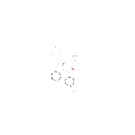 CC(C)(C)c1ccc(N(C(=O)NC2(C#N)CC2)C(C(=O)NC2CCC(F)(F)CC2)c2cnccc2C(F)(F)F)cc1